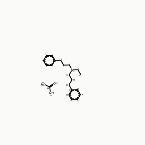 CCN(CCCc1ccccc1)CCCc1ccccc1.O=C(O)O